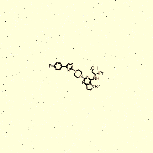 CC(C)[C@H](CO)Nc1nc(N2CCN(c3nc(-c4ccc(F)cc4)cs3)CC2)nc2c1[S+]([O-])CC2